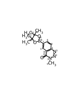 Cn1nnc2ccc(B3OC(C)(C)C(C)(C)O3)cc2c1=O